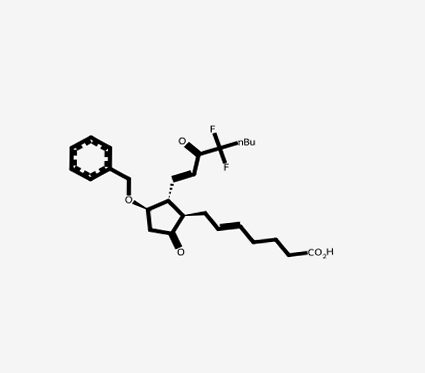 CCCCC(F)(F)C(=O)C=C[C@H]1[C@H](OCc2ccccc2)CC(=O)[C@@H]1CC=CCCCC(=O)O